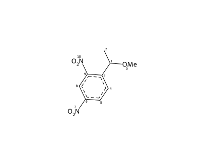 COC(C)c1ccc([N+](=O)[O-])cc1[N+](=O)[O-]